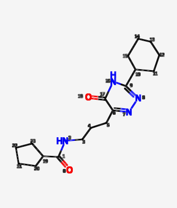 O=C(NCCCc1nnc(C2CCCCC2)[nH]c1=O)C1CCCC1